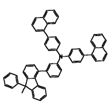 CC1(c2ccccc2)c2ccccc2-c2c(-c3cccc(N(c4ccc(-c5cccc6ccccc56)cc4)c4ccc(-c5cccc6ccccc56)cc4)c3)cccc21